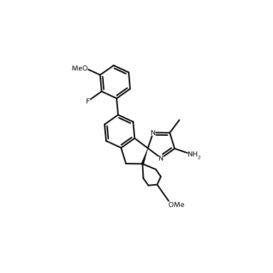 COc1cccc(-c2ccc3c(c2)[C@@]2(N=C(C)C(N)=N2)C2(CCC(OC)CC2)C3)c1F